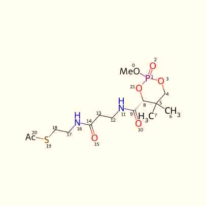 COP1(=O)OCC(C)(C)[C@H](C(=O)NCCC(=O)NCCSC(C)=O)O1